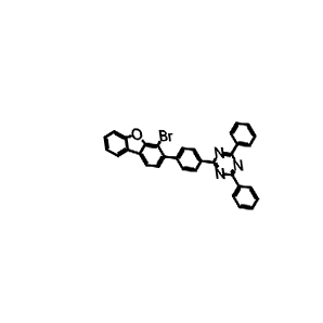 Brc1c(-c2ccc(-c3nc(-c4ccccc4)nc(-c4ccccc4)n3)cc2)ccc2c1oc1ccccc12